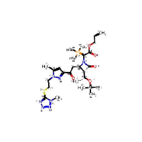 C=CCOC(=O)C(N1C(=O)[C@H]([C@@H](C)O[Si](C)(C)C(C)(C)C)[C@H]1CC(=O)c1cc(C)n(CCSc2nnnn2C)n1)=P(CCCC)(CCCC)CCCC